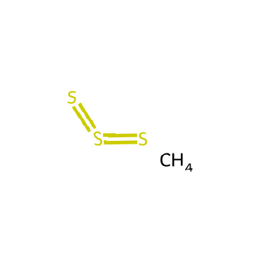 C.S=S=S